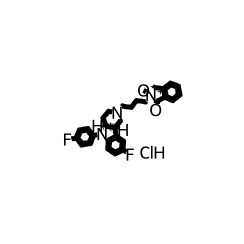 Cl.O=C1c2ccccc2C[N+]1([O-])CCCCN1CC[C@@H]2[C@@H](C1)c1cc(F)ccc1N2c1ccc(F)cc1